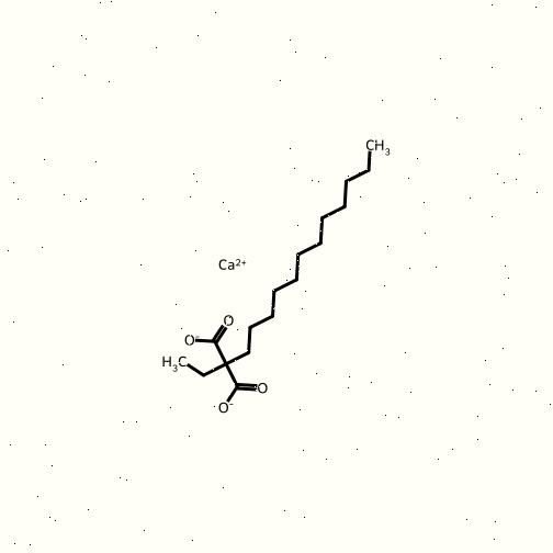 CCCCCCCCCCCCC(CC)(C(=O)[O-])C(=O)[O-].[Ca+2]